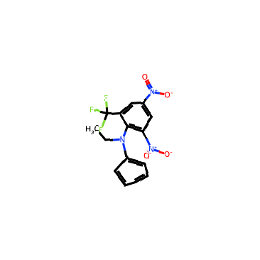 CCN(c1ccccc1)c1c([N+](=O)[O-])cc([N+](=O)[O-])cc1C(F)(F)F